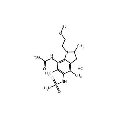 CCOCCN1c2c(c(C)c(NS(N)(=O)=O)c(C)c2NC(=O)C(C)(C)C)CC1C.Cl